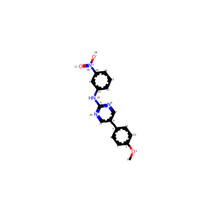 COc1ccc(-c2cnc(Nc3cccc([N+](=O)[O-])c3)nc2)cc1